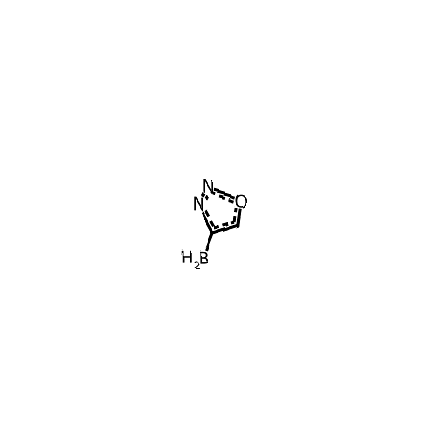 Bc1conn1